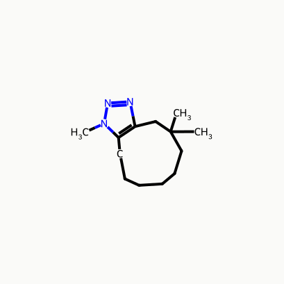 Cn1nnc2c1CCCCCCC(C)(C)C2